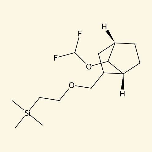 C[Si](C)(C)CCOCC1C[C@@H]2CC[C@H]1C2OC(F)F